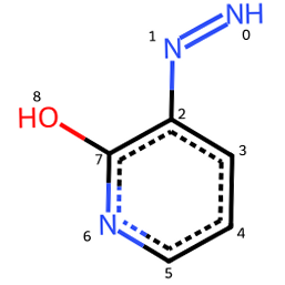 N=Nc1cccnc1O